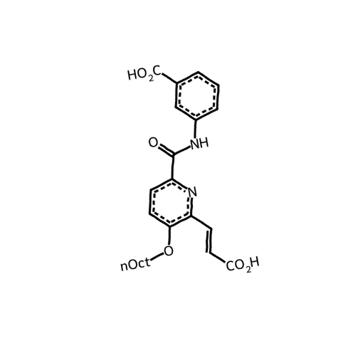 CCCCCCCCOc1ccc(C(=O)Nc2cccc(C(=O)O)c2)nc1/C=C/C(=O)O